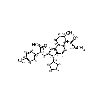 COC(=O)N1c2ccc3c(nc(C[C@@H](C(=O)O)c4ccc(Cl)cc4)n3C3CCCC3)c2CC[C@@H]1C